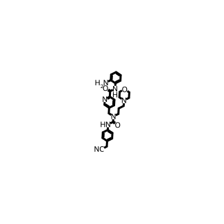 N#CCc1ccc(NC(=O)N(CCCN2CCOCC2)Cc2ccc(C(=O)Nc3ccccc3N)nc2)cc1